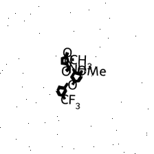 COc1ccc(OCc2cccc(C(F)(F)F)c2)cc1NC(=O)C1CCC(=O)N1C